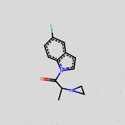 CC(C(=O)n1ccc2cc(F)ccc21)N1CC1